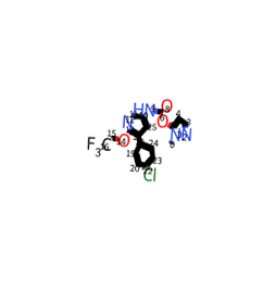 Cn1nccc1OC(=O)Nc1cnc(OCC(F)(F)F)c(-c2ccc(Cl)cc2)c1